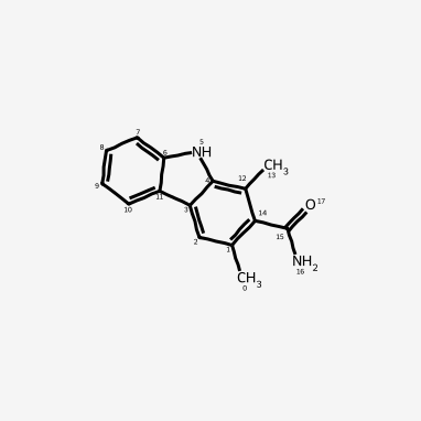 Cc1cc2c([nH]c3ccccc32)c(C)c1C(N)=O